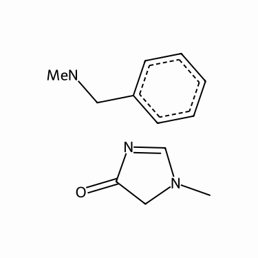 CN1C=NC(=O)C1.CNCc1ccccc1